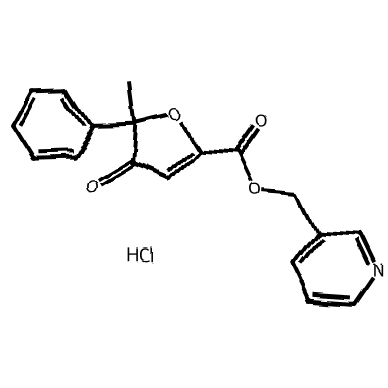 CC1(c2ccccc2)OC(C(=O)OCc2cccnc2)=CC1=O.Cl